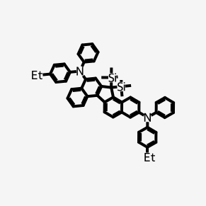 CCc1ccc(N(c2ccccc2)c2ccc3c4c(ccc3c2)-c2c(cc(N(c3ccccc3)c3ccc(CC)cc3)c3ccccc23)C4([Si](C)(C)C)[Si](C)(C)C)cc1